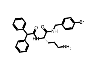 NCCC[C@H](NC(=O)C(c1ccccc1)c1ccccc1)C(=O)NCc1ccc(Br)cc1